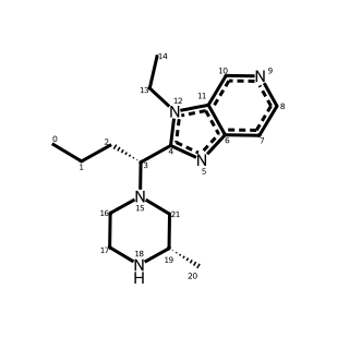 CCC[C@H](c1nc2ccncc2n1CC)N1CCN[C@@H](C)C1